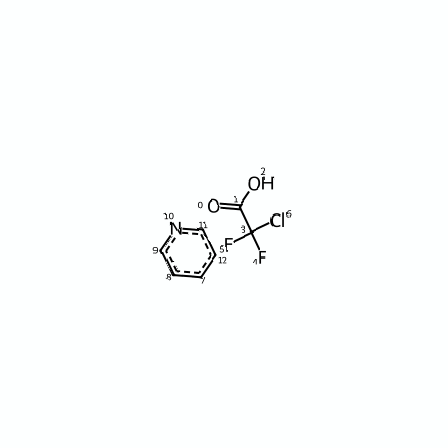 O=C(O)C(F)(F)Cl.c1ccncc1